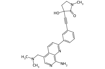 CN(C)Cc1cnc(N)c2nc(-c3cccc(C#CC4(O)CCN(C)C4=O)c3)ccc12